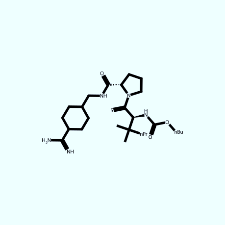 CCCCOC(=O)N[C@H](C(=S)N1CCC[C@H]1C(=O)NCC1CCC(C(=N)N)CC1)C(C)(C)CCC